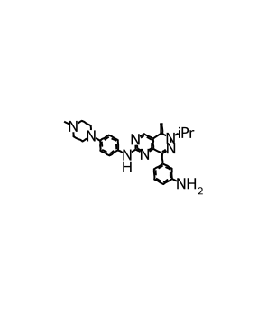 C=C1c2cnc(Nc3ccc(N4CCN(C)CC4)cc3)nc2C(c2cccc(N)c2)=NN1C(C)C